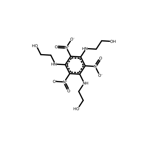 O=[N+]([O-])c1c(NCCO)c([N+](=O)[O-])c(NCCO)c([N+](=O)[O-])c1NCCO